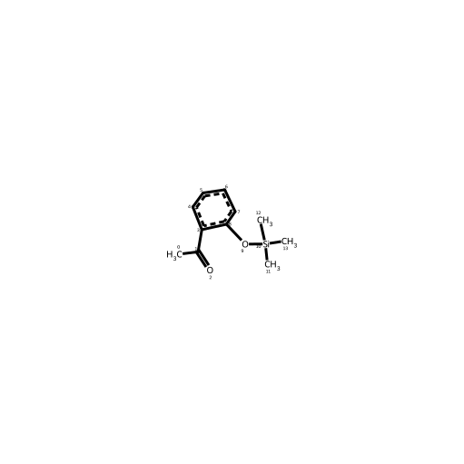 CC(=O)c1ccccc1O[Si](C)(C)C